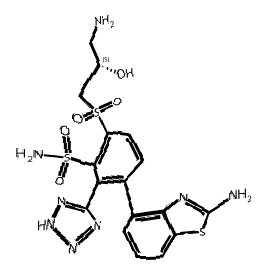 NC[C@H](O)CS(=O)(=O)c1ccc(-c2cccc3sc(N)nc23)c(-c2nn[nH]n2)c1S(N)(=O)=O